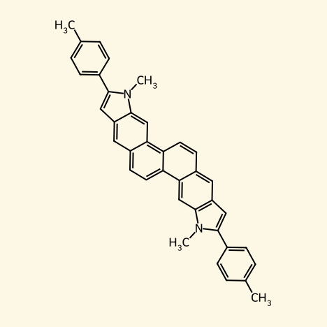 Cc1ccc(-c2cc3cc4ccc5c6cc7c(cc(-c8ccc(C)cc8)n7C)cc6ccc5c4cc3n2C)cc1